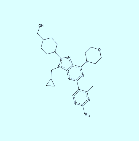 Cc1nc(N)ncc1-c1nc(N2CCOCC2)c2nc(N3CCC(CO)CC3)n(CC3CC3)c2n1